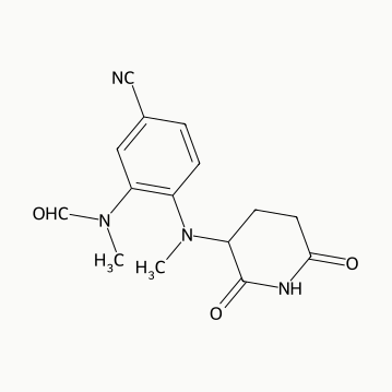 CN(C=O)c1cc(C#N)ccc1N(C)C1CCC(=O)NC1=O